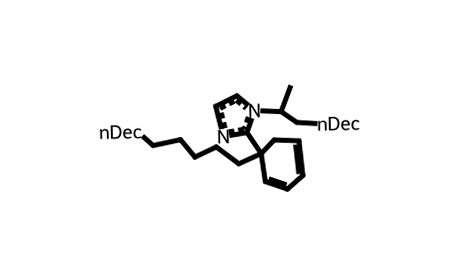 CCCCCCCCCCCCCCCC1(c2nccn2C(C)CCCCCCCCCCC)C=CC=CC1